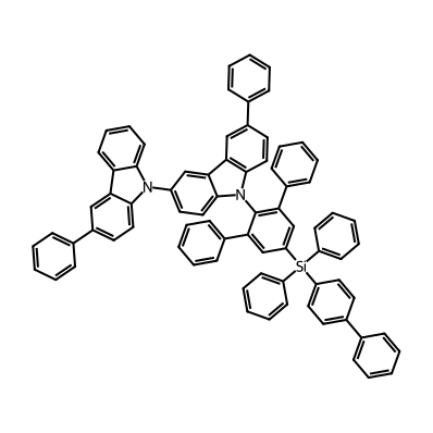 c1ccc(-c2ccc([Si](c3ccccc3)(c3ccccc3)c3cc(-c4ccccc4)c(-n4c5ccc(-c6ccccc6)cc5c5cc(-n6c7ccccc7c7cc(-c8ccccc8)ccc76)ccc54)c(-c4ccccc4)c3)cc2)cc1